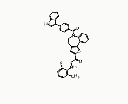 Cc1cccc(F)c1NCC(=O)c1cc2c(s1)-c1ccccc1N(C(=O)c1ccc(-c3c[nH]c4ccccc34)cc1)CC2